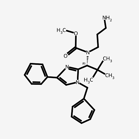 COC(=O)N(CCCN)[C@@H](c1nc(-c2ccccc2)cn1Cc1ccccc1)C(C)(C)C